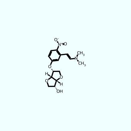 CN(C)C=Cc1cc(O[C@@H]2CO[C@H]3[C@@H]2OC[C@H]3O)ccc1[N+](=O)[O-]